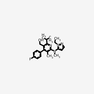 CCn1nccc1N(C)c1nc(C(C)C)c(CO)c(-c2ccc(F)cc2)c1C